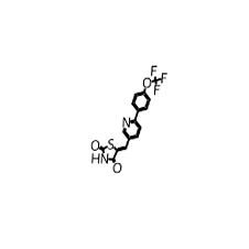 O=C1NC(=O)C(=Cc2ccc(-c3ccc(OC(F)(F)F)cc3)nc2)S1